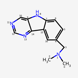 CN(C)Cc1ccc2[nH]c3cncnc3c2c1